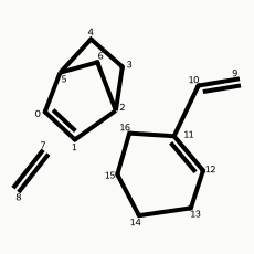 C1=CC2CCC1C2.C=C.C=CC1=CCCCC1